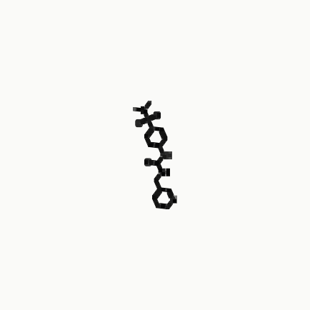 CN(C)S(=O)(=O)c1ccc(NC(=O)NCc2cccnc2)cc1